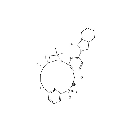 C[C@H]1CCNc2cccc(n2)S(=O)(=O)NC(=O)c2ccc(N3CC4CCCCN4C3=O)nc2N2C[C@@H]1CC2(C)C